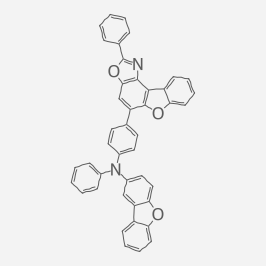 c1ccc(-c2nc3c(cc(-c4ccc(N(c5ccccc5)c5ccc6oc7ccccc7c6c5)cc4)c4oc5ccccc5c43)o2)cc1